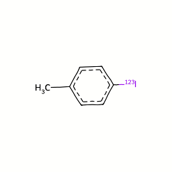 Cc1ccc([123I])cc1